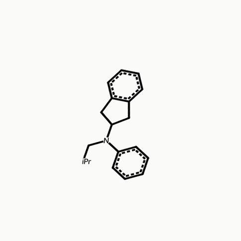 CC(C)CN(c1ccccc1)C1Cc2ccccc2C1